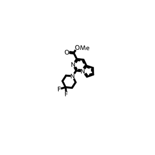 COC(=O)c1cc2cccn2c(N2CCC(F)(F)CC2)n1